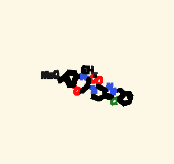 COCc1ccc2c(c1)OC[C@H](N1CCc3c(nn(Cc4ccccc4)c3Cl)C1=O)C(=O)N2C